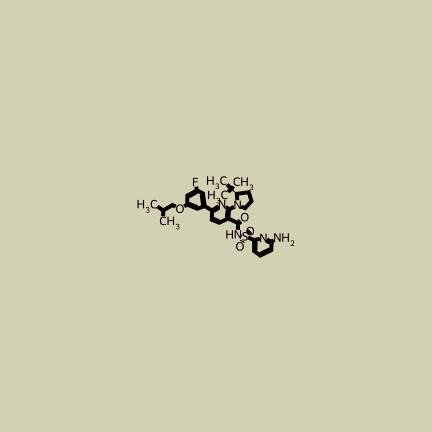 CC(C)COc1cc(F)cc(-c2ccc(C(=O)NS(=O)(=O)c3cccc(N)n3)c(N3CCC[C@H]3C(C)(C)C)n2)c1